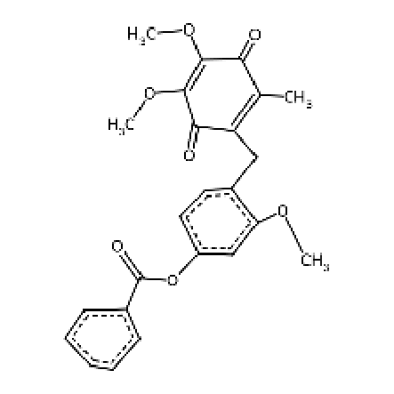 COC1=C(OC)C(=O)C(Cc2ccc(OC(=O)c3ccccc3)cc2OC)=C(C)C1=O